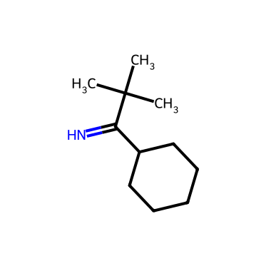 CC(C)(C)C(=N)C1CCCCC1